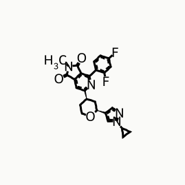 CN1C(=O)c2cc([C@@H]3CCO[C@H](c4cnn(C5CC5)c4)C3)nc(-c3ccc(F)cc3F)c2C1=O